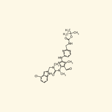 CN(Cc1cc2c(Cl)cccc2[nH]1)C(=O)N(C)c1nc(Nc2ccnc(CNC(=O)OC(C)(C)C)n2)n(C)c1C=O